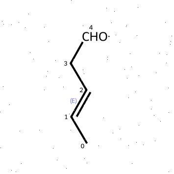 C/C=C/C[C]=O